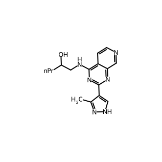 CCCC(O)CNc1nc(-c2c[nH]nc2C)nc2cnccc12